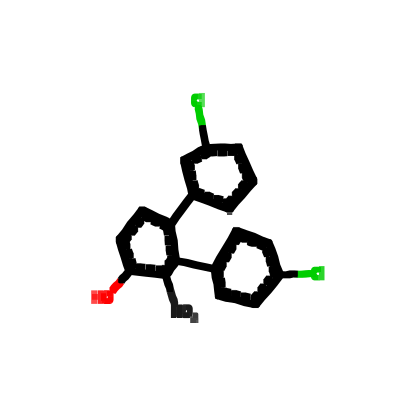 O=[N+]([O-])c1c(O)ccc(-c2[c]ccc(Cl)c2)c1-c1ccc(Cl)cc1